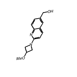 COC1CN(c2ccc3cc(CO)ccc3n2)C1